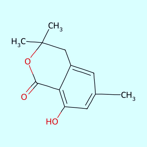 Cc1cc(O)c2c(c1)CC(C)(C)OC2=O